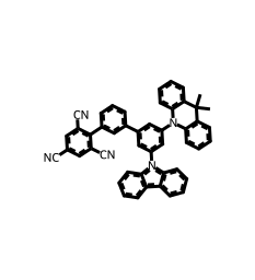 CC1(C)c2ccccc2N(c2cc(-c3cccc(-c4c(C#N)cc(C#N)cc4C#N)c3)cc(-n3c4ccccc4c4ccccc43)c2)c2ccccc21